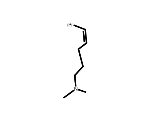 CC(C)/C=C\CCCN(C)C